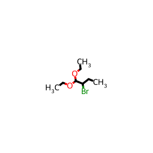 CCOC(OCC)C(Br)CC